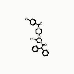 O=C(c1ccc(Cl)cc1)N1CCN([C@@H]2CN(C(=O)C(c3ccccc3)c3ccccc3)C[C@H]2O)CC1